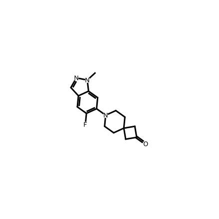 Cn1ncc2cc(F)c(N3CCC4(CC3)CC(=O)C4)cc21